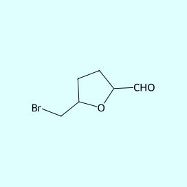 O=CC1CCC(CBr)O1